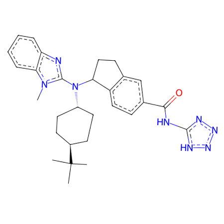 Cn1c(N(C2CCc3cc(C(=O)Nc4nnn[nH]4)ccc32)[C@H]2CC[C@H](C(C)(C)C)CC2)nc2ccccc21